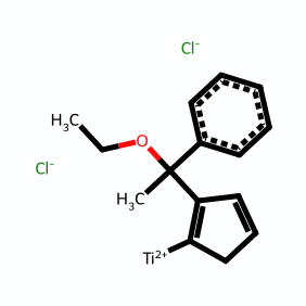 CCOC(C)(C1=[C]([Ti+2])CC=C1)c1ccccc1.[Cl-].[Cl-]